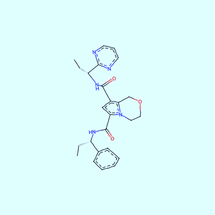 CC[C@H](NC(=O)c1cc(C(=O)N[C@H](CC)c2ncccn2)c2n1CCOC2)c1ccccc1